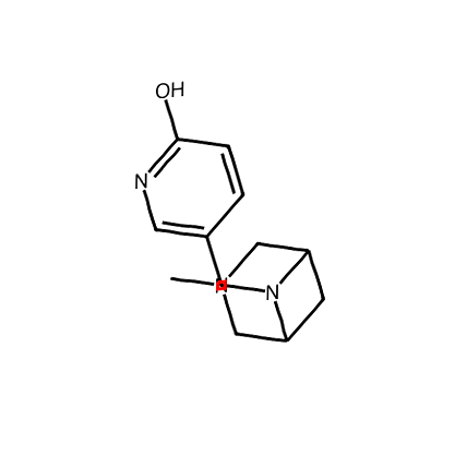 CN1CC2CC(C1)N2Cc1ccc(O)nc1